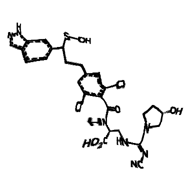 N#C/N=C(\NC[C@H](NC(=O)c1c(Cl)cc(CCC(SO)c2ccc3cn[nH]c3c2)cc1Cl)C(=O)O)N1CC[C@H](O)C1